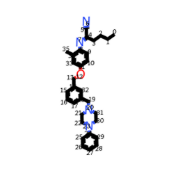 CCCC/C(C#N)=N\c1ccc(OCc2cccc(CN3CCN(c4ccccc4)CC3)c2)cc1C